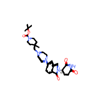 CC1(CN2CCN(c3ccc4c(c3)CN([C@H]3CCC(=O)NC3=O)C4=O)CC2)CCN(C(=O)OC(C)(C)C)CC1